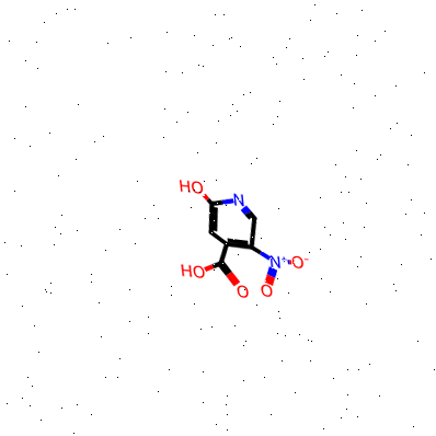 O=C(O)c1cc(O)ncc1[N+](=O)[O-]